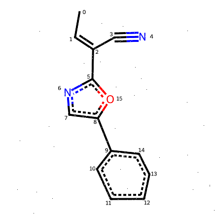 C/C=C(\C#N)c1ncc(-c2ccccc2)o1